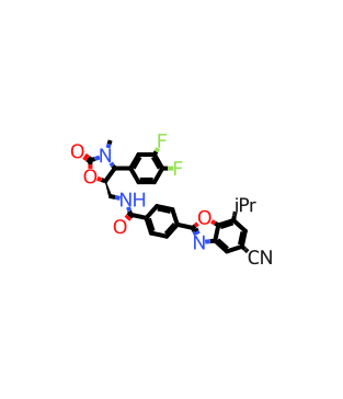 CC(C)c1cc(C#N)cc2nc(-c3ccc(C(=O)NC[C@H]4OC(=O)N(C)C4c4ccc(F)c(F)c4)cc3)oc12